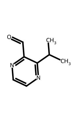 CC(C)c1nccnc1C=O